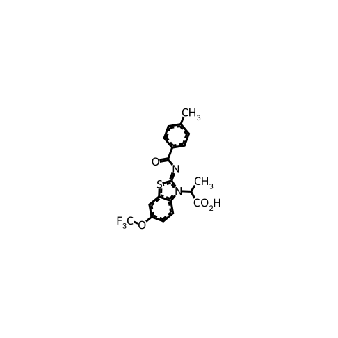 Cc1ccc(C(=O)/N=c2\sc3cc(OC(F)(F)F)ccc3n2C(C)C(=O)O)cc1